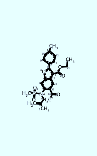 C=C(C)CN(c1cc2oc(-c3ccc(C)cc3)c(C(=O)OCC)c2cc1C(C)=O)S(C)(=O)=O